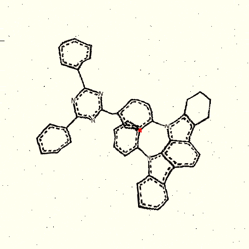 c1ccc(-c2nc(-c3ccccc3)nc(-c3ccc(-n4c5c(c6ccc7c8ccccc8n(-c8ccccc8)c7c64)CCCC5)cc3)n2)cc1